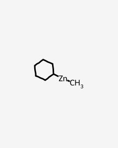 [CH3][Zn][CH]1CCCCC1